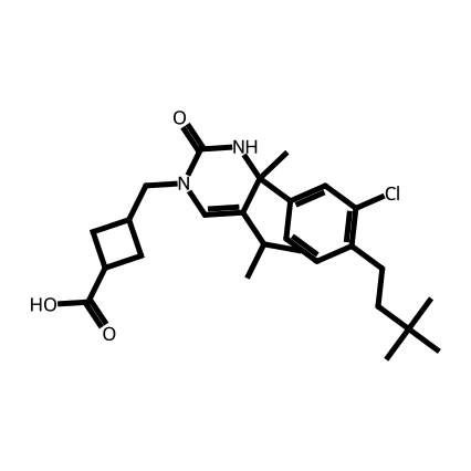 CC(C)C1=CN(CC2CC(C(=O)O)C2)C(=O)NC1(C)c1ccc(CCC(C)(C)C)c(Cl)c1